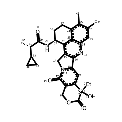 CC[Si@@]1(O)C(=O)OCc2c1cc1n(c2=O)Cc2c-1nc1cc(F)c(C)c3c1c2[C@@H](NC(=O)[C@@H](C)C1CC1)CC3